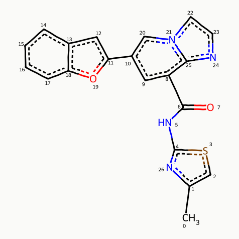 Cc1csc(NC(=O)c2cc(-c3cc4ccccc4o3)cn3ccnc23)n1